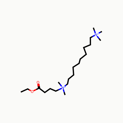 CCOC(=O)CCC[N+](C)(C)CCCCCCCCCC[N+](C)(C)C